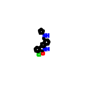 O=c1[nH]c2c(c3cccc(Cl)c13)Cc1c(CNC3CCCC3)cccc1-2